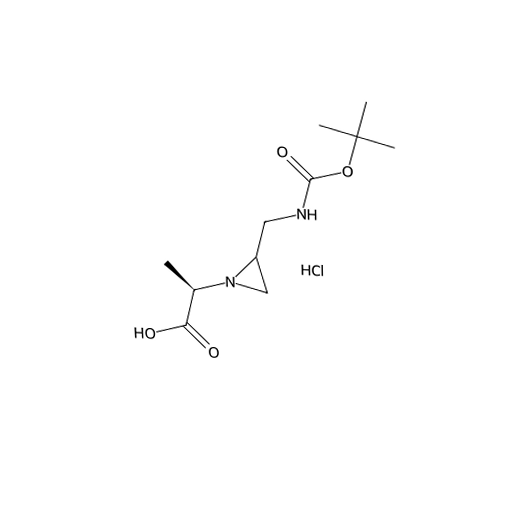 C[C@H](C(=O)O)N1CC1CNC(=O)OC(C)(C)C.Cl